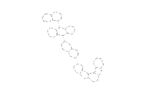 c1ccc2c(-c3c4ccccc4c(-c4ccc5cc(-c6ccc7sc8ccc9sc%10ccccc%10c9c8c7c6)ccc5c4)c4ccccc34)cccc2c1